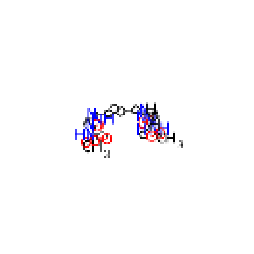 COC(=O)NC(C(=O)N1CCC[C@H]1c1ncc(-c2ccc3c(c2)CCc2cc(-c4ccc5nc([C@@H]6[C@H]7CC[C@H](C7)N6C(=O)[C@H](NC(=O)OC)c6ccccc6)[nH]c5c4)ccc2-3)[nH]1)C1CCOCC1